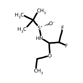 CCOC(N[S@@+]([O-])C(C)(C)C)C(F)F